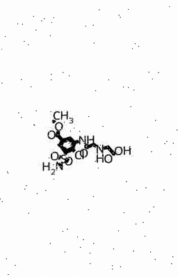 CCOC(=O)c1cc(NC(=O)CNCC(=O)O)c(Cl)c(S(N)(=O)=O)c1